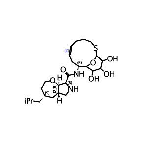 CC(C)C[C@@H]1CCO[C@@H]2[C@H](CN[C@@H]2C(=O)N[C@@H]2C/C=C\CCCSC3OC2C(O)C(O)C3O)C1